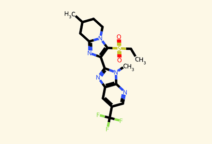 CCS(=O)(=O)c1c(-c2nc3cc(C(F)(F)F)cnc3n2C)nc2n1CCC(C)C2